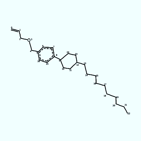 C=CCOCc1ccc(C2CCC(CCCCCCCCCC)CC2)cc1